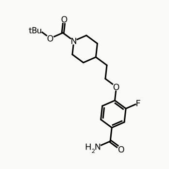 CC(C)(C)OC(=O)N1CCC(CCOc2ccc(C(N)=O)cc2F)CC1